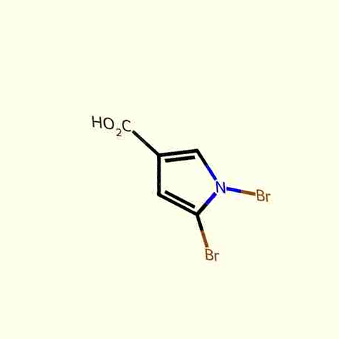 O=C(O)c1cc(Br)n(Br)c1